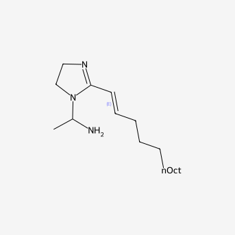 CCCCCCCCCCC/C=C/C1=NCCN1C(C)N